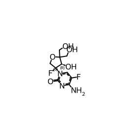 Nc1nc(=O)n([C@]2(F)COC(CO)(CO)[C@H]2O)cc1F